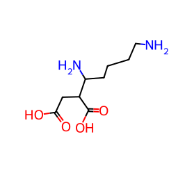 NCCCCC(N)C(CC(=O)O)C(=O)O